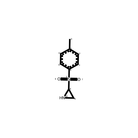 Cc1ccc(S(=O)(=O)C2CN2)cc1